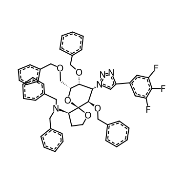 Fc1cc(-c2cn([C@H]3[C@@H](OCc4ccccc4)[C@@H](COCc4ccccc4)O[C@]4(OCC[C@H]4N(Cc4ccccc4)Cc4ccccc4)[C@@H]3OCc3ccccc3)nn2)cc(F)c1F